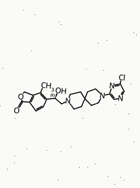 Cc1c([C@@H](O)CN2CCC3(CC2)CCN(c2cncc(Cl)n2)CC3)ccc2c1COC2=O